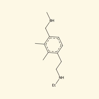 CBCc1ccc(CCNCC)c(C)c1C